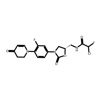 O=C1C=CN(c2ccc(N3C[C@H](CNC(=O)C(F)Cl)OC3=O)cc2F)CC1